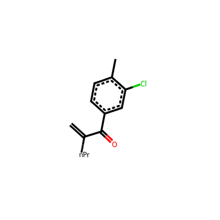 C=C(CCC)C(=O)c1ccc(C)c(Cl)c1